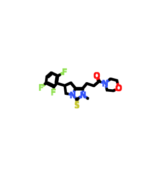 Cn1c(CCC(=O)N2CCOCC2)c2n(c1=S)CC(c1c(F)ccc(F)c1F)C2